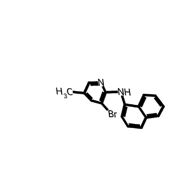 Cc1cnc(Nc2cccc3ccccc23)c(Br)c1